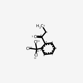 CCC(=O)c1ccccc1C(Cl)(Cl)Cl